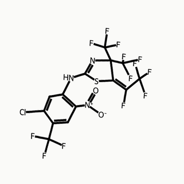 O=[N+]([O-])c1cc(C(F)(F)F)c(Cl)cc1NC1=NC(C(F)(F)F)(C(F)(F)F)C(=C(F)C(F)(F)F)S1